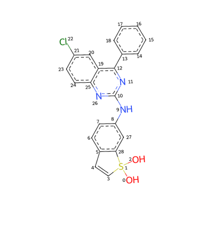 OS1(O)C=Cc2ccc(Nc3nc(-c4ccccc4)c4cc(Cl)ccc4n3)cc21